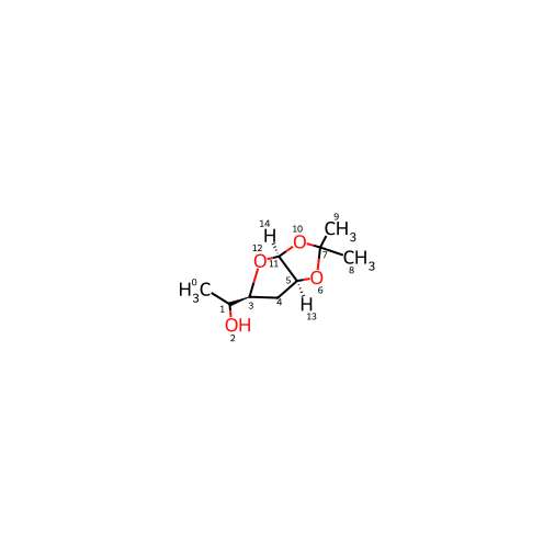 CC(O)[C@@H]1C[C@@H]2OC(C)(C)O[C@@H]2O1